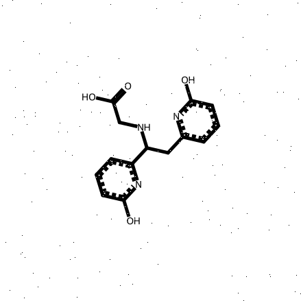 O=C(O)CNC(Cc1cccc(O)n1)c1cccc(O)n1